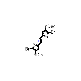 CCCCCCCCCCc1cc(/C=C/c2cc(CCCCCCCCCC)c(Br)s2)sc1Br